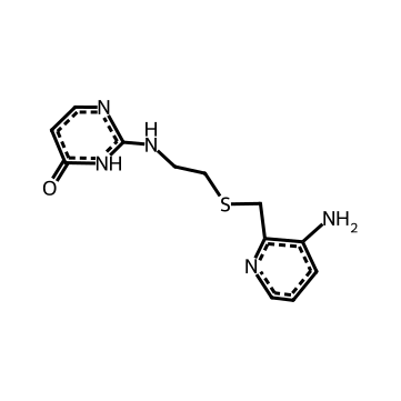 Nc1cccnc1CSCCNc1nccc(=O)[nH]1